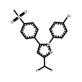 CC(=O)c1ccc(-n2nc(C(F)F)cc2-c2ccc(S(C)(=O)=O)cc2)cc1